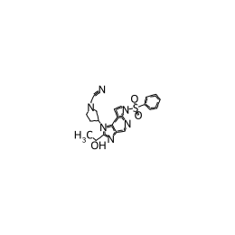 CC(O)c1nc2cnc3c(ccn3S(=O)(=O)c3ccccc3)c2n1C1CCN(CC#N)C1